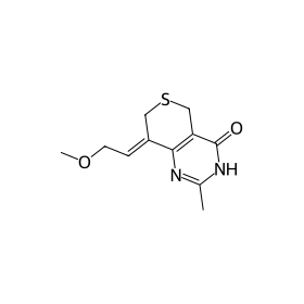 COCC=C1CSCc2c1nc(C)[nH]c2=O